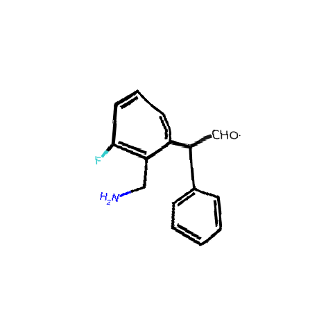 NCc1c(F)cccc1C([C]=O)c1ccccc1